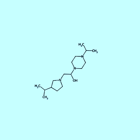 CC(C)C1CCN(CC(O)N2CCN(C(C)C)CC2)C1